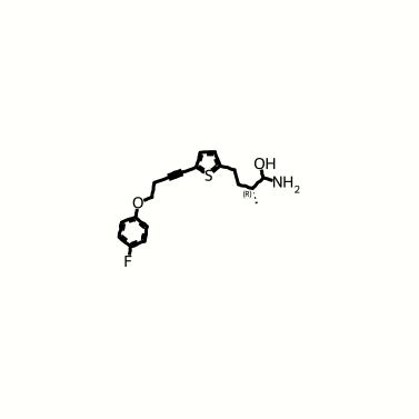 C[C@H](CCc1ccc(C#CCCOc2ccc(F)cc2)s1)C(N)O